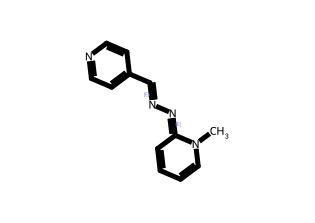 Cn1cccc/c1=N\N=C\c1ccncc1